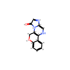 O=c1cnc2c[nH]c3c(n1-2)COc1ccccc1-3